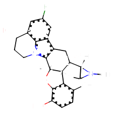 Cc1ccc(O)c2c1[C@]13CC4[C@@H](N4C)[C@]1(O)Cc1c(n4c5c(cc(F)cc15)[C@@H](O)CC4)[C@@H]3O2